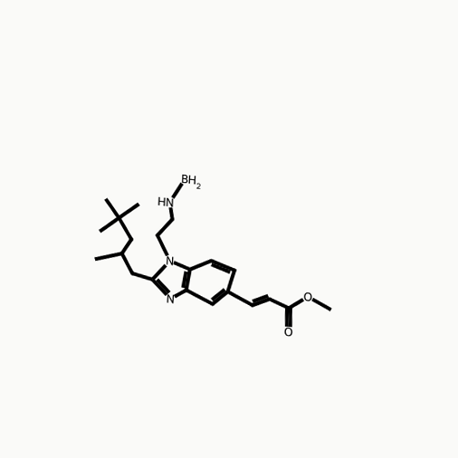 BNCCn1c(CC(C)CC(C)(C)C)nc2cc(/C=C/C(=O)OC)ccc21